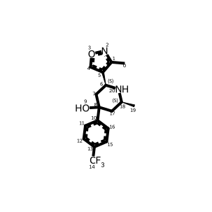 Cc1nocc1[C@@H]1CC(O)(c2ccc(C(F)(F)F)cc2)C[C@H](C)N1